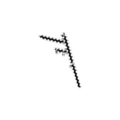 CCCCCCCCCCCCCC(=O)OCCCCCCC(CCCCCC(CCCN(C)C)OC(=O)CCCCCCCCCCCCC)OC(=O)NCCCN(C)C